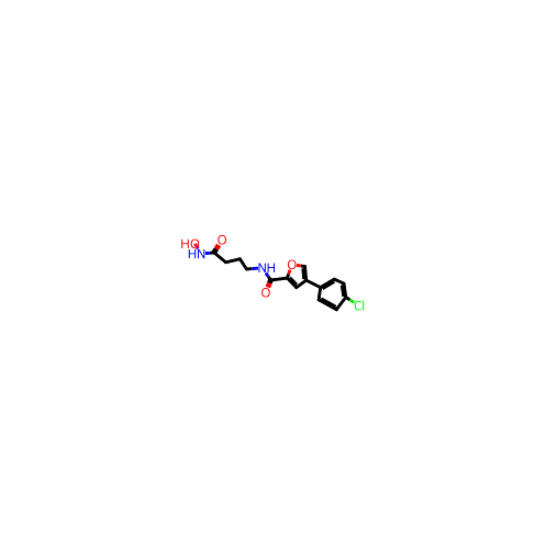 O=C(CCCNC(=O)c1cc(-c2ccc(Cl)cc2)co1)NO